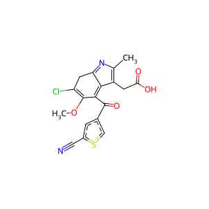 COC1=C(Cl)CC2=NC(C)=C(CC(=O)O)C2=C1C(=O)c1csc(C#N)c1